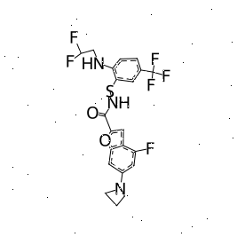 O=C(NSc1cc(C(F)(F)F)ccc1NCC(F)F)c1cc2c(F)cc(N3CCC3)cc2o1